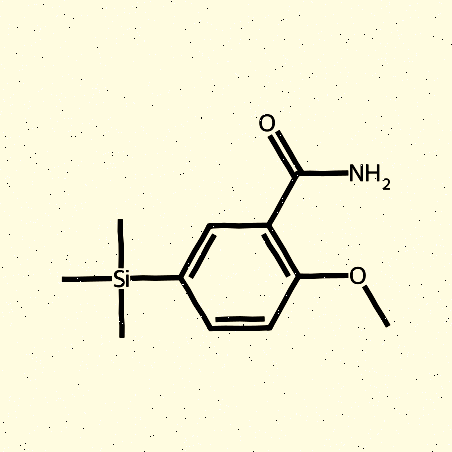 COc1ccc([Si](C)(C)C)cc1C(N)=O